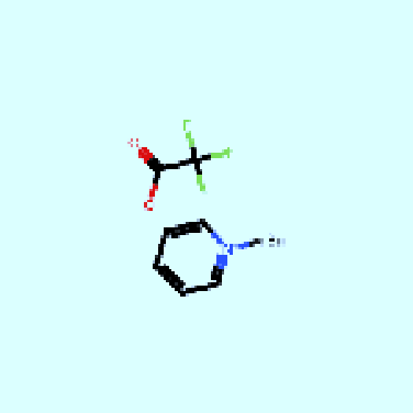 CCCC[n+]1ccccc1.O=C([O-])C(F)(F)F